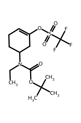 CCN(C(=O)OC(C)(C)C)C1CCC=C(OS(=O)(=O)C(F)(F)F)C1